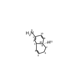 NC1=CC2C=CCC[C@@H]2C=C1